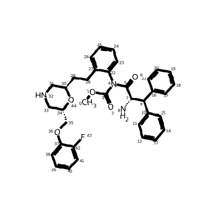 COC(=O)N(C(=O)[C@@H](N)C(c1ccccc1)c1ccccc1)c1ccccc1CC[C@@H]1CNC[C@@H](COc2ccccc2F)O1